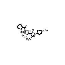 CC1=NN(c2ccc(C(C)(C)C)cc2)C(=O)/C1=C(/C)NNC(=O)c1ccccc1O